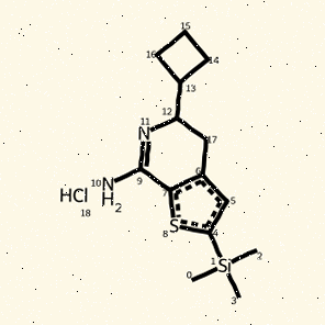 C[Si](C)(C)c1cc2c(s1)C(N)=NC(C1CCC1)C2.Cl